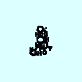 CC(c1ncc[nH]1)[N+]1(C)C(=O)C(F)=C[C@@]2(C)[C@H]1CC[C@H]1[C@@H]3CCC[C@@]3(C)CC[C@@H]12